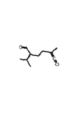 CC(=C=O)CCC(C=O)C(C)C